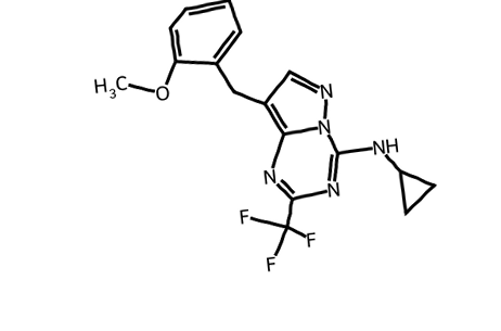 COc1ccccc1Cc1cnn2c(NC3CC3)nc(C(F)(F)F)nc12